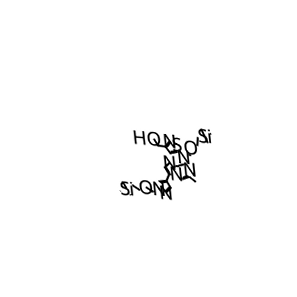 Cc1cn2c(-c3cnn(COCC[Si](C)(C)C)c3)cnc2c(N(COCC[Si](C)(C)C)c2cc(CO)ns2)n1